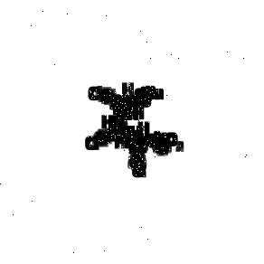 CC(=O)N(CCNc1nc(NCCNc2nc(NCCNc3nc(NCCNC(=O)OC(C)(C)C)nc(SCc4ccc(Cl)cc4)n3)nc(SCc3ccc(Cl)cc3)n2)nc(SCc2ccc(Cl)cc2)n1)Cc1ccccc1[N+](=O)[O-]